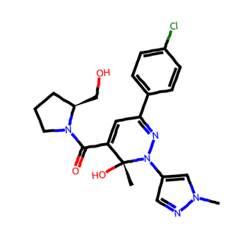 Cn1cc(N2N=C(c3ccc(Cl)cc3)C=C(C(=O)N3CCC[C@H]3CO)[C@@]2(C)O)cn1